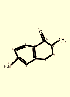 Bc1ccc2c(c1)CCC(C)C2=O